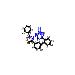 c1ccc(-c2nc(-c3cccc(-c4ccccc4-c4nn[nH]n4)c3)cs2)cc1